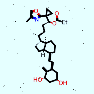 C=C1/C(=C\C=C2/CCC[C@]3(C)[C@@H]([C@H](C)CC[C@H](OC(=O)CC)C4(c5nc(C)co5)CC4)CC[C@@H]23)C[C@@H](O)C[C@@H]1O